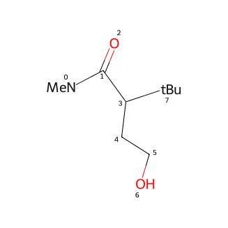 CNC(=O)C(CCO)C(C)(C)C